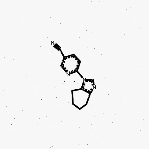 N#Cc1ccc(-n2cnc3c2CCCC3)nc1